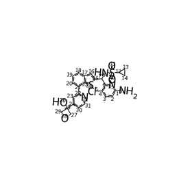 Nc1ccc(Cl)c(C(NS(=O)(=O)C2CC2)c2cc3cccc(-c4cc(C5(O)COC5)ccn4)c3s2)n1